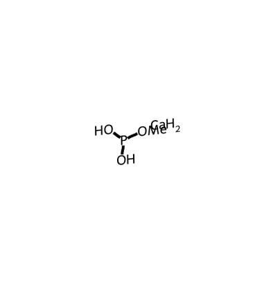 COP(O)O.[CaH2]